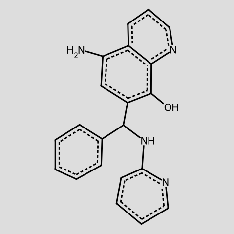 Nc1cc(C(Nc2ccccn2)c2ccccc2)c(O)c2ncccc12